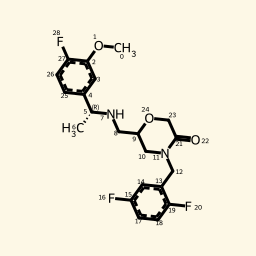 COc1cc([C@@H](C)NCC2CN(Cc3cc(F)ccc3F)C(=O)CO2)ccc1F